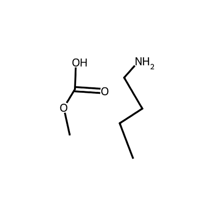 CCCCN.COC(=O)O